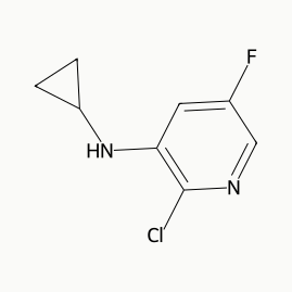 Fc1cnc(Cl)c(NC2CC2)c1